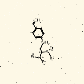 C=Cc1ccc([SiH2]CC(N(CC)CC)N(CC)CC)cc1